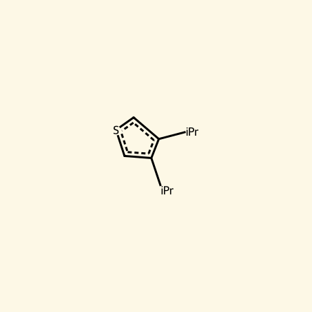 CC(C)c1cscc1C(C)C